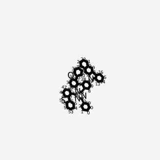 c1ccc(-c2nc(-c3ccc(-n4c5ccccc5c5cc6ccccc6cc54)cc3-c3cccc4oc5ccccc5c34)nc(-c3cccc4sc5ccccc5c34)n2)cc1